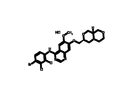 COc1cc2c(Nc3ccc(Br)c(Cl)c3Cl)ncnc2cc1OC[C@@H]1CN2CCOC[C@H]2CO1.Cl